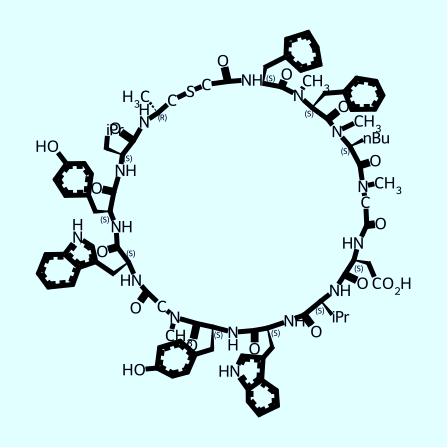 CCCC[C@H]1C(=O)N(C)CC(=O)N[C@@H](CC(=O)O)C(=O)N[C@@H](C(C)C)C(=O)N[C@@H](Cc2c[nH]c3ccccc23)C(=O)N[C@@H](Cc2ccc(O)cc2)C(=O)N(C)CC(=O)N[C@@H](Cc2c[nH]c3ccccc23)C(=O)N[C@@H](Cc2ccc(O)cc2)C(=O)N[C@@H](CC(C)C)C(=O)N[C@H](C)CSCC(=O)N[C@@H](Cc2ccccc2)C(=O)N(C)[C@@H](Cc2ccccc2)C(=O)N1C